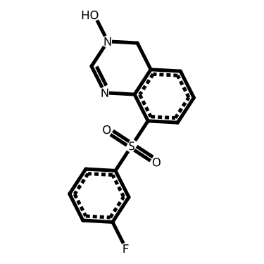 O=S(=O)(c1cccc(F)c1)c1cccc2c1N=CN(O)C2